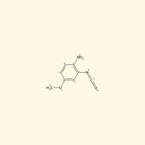 COc1ccc(N)c(N=C=O)c1